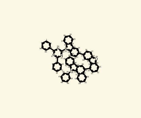 c1ccc(-c2nc(-c3ccccc3)nc(-n3c4ccccc4c4cc(-c5ccc6oc7cccc(-c8cc9c%10ccccc%10n(-c%10ccccc%10)c9c9ccccc89)c7c6c5)ccc43)n2)cc1